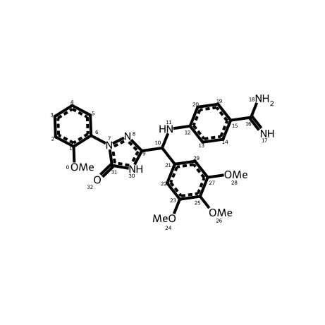 COc1ccccc1-n1nc(C(Nc2ccc(C(=N)N)cc2)c2cc(OC)c(OC)c(OC)c2)[nH]c1=O